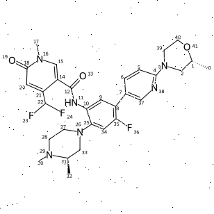 C[C@@H]1CN(c2ccc(-c3cc(NC(=O)c4cn(C)c(=O)cc4C(F)F)c(N4CCN(C)[C@H](C)C4)cc3F)cn2)CCO1